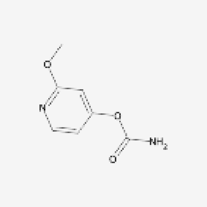 COc1cc(OC(N)=O)ccn1